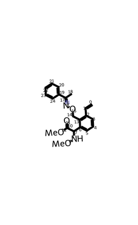 C=Cc1cccc(C(NOC)C(=O)OC)c1CO/N=C(\C)c1ccccc1